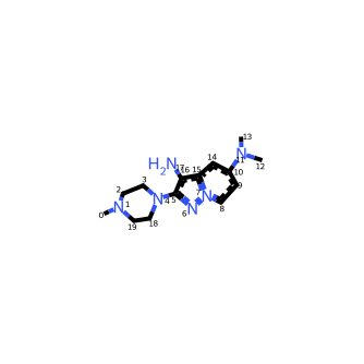 CN1CCN(c2nn3ccc(N(C)C)cc3c2N)CC1